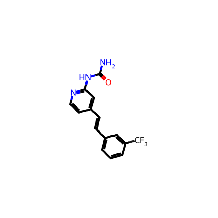 NC(=O)Nc1cc(C=Cc2cccc(C(F)(F)F)c2)ccn1